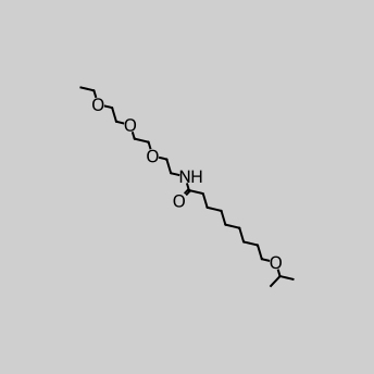 CCOCCOCCOCCNC(=O)CCCCCCCCOC(C)C